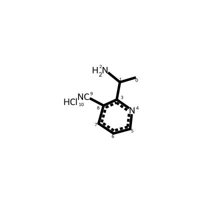 CC(N)c1ncccc1C#N.Cl